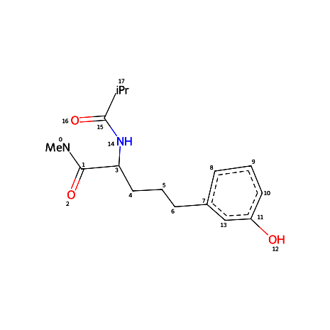 CNC(=O)C(CCCc1cccc(O)c1)NC(=O)C(C)C